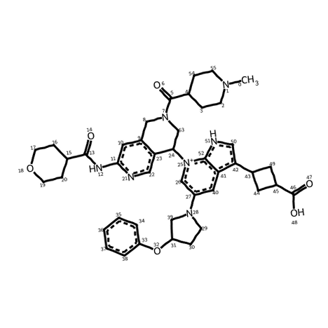 CN1CCC(C(=O)N2Cc3cc(NC(=O)C4CCOCC4)ncc3C([n+]3cc(N4CCC(Oc5ccccc5)C4)cc4c(C5CC(C(=O)O)C5)c[nH]c43)C2)CC1